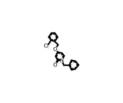 O=c1cc(OCc2ccccc2Cl)ccn1Cc1ccccc1